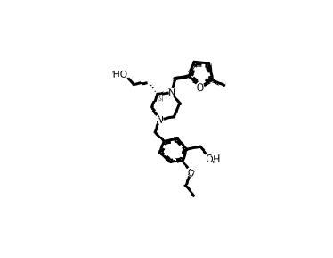 CCOc1ccc(CN2CCN(Cc3ccc(C)o3)[C@@H](CCO)C2)cc1CO